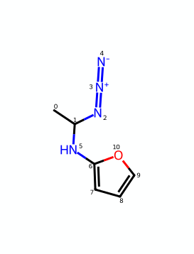 CC(N=[N+]=[N-])Nc1ccco1